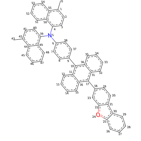 Cc1ccc(N(c2ccc(-c3c4ccccc4c(-c4ccc5c(c4)oc4ccccc45)c4ccccc34)cc2)c2ccc(C)c3ccccc23)c2ccccc12